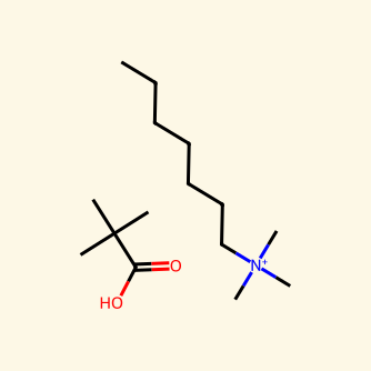 CC(C)(C)C(=O)O.CCCCCCC[N+](C)(C)C